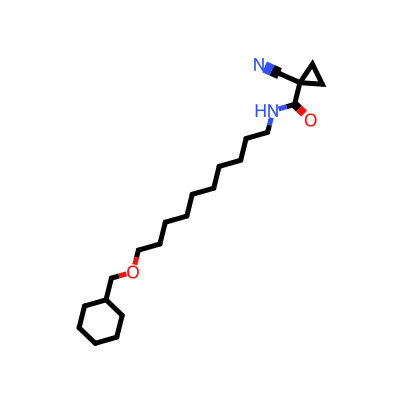 N#CC1(C(=O)NCCCCCCCCCCOCC2CCCCC2)CC1